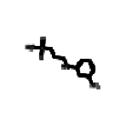 CS(=O)(=O)CCCNc1cccc(N)c1